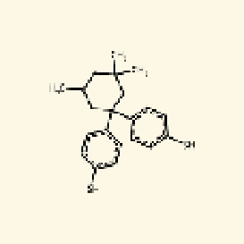 CC1CC(C)(C)CC(c2ccc(S)cc2)(c2ccc(S)cc2)C1